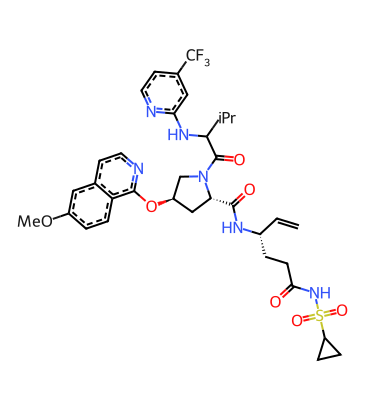 C=C[C@H](CCC(=O)NS(=O)(=O)C1CC1)NC(=O)[C@@H]1C[C@@H](Oc2nccc3cc(OC)ccc23)CN1C(=O)C(Nc1cc(C(F)(F)F)ccn1)C(C)C